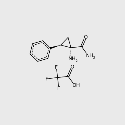 NC(=O)[C@]1(N)C[C@@H]1c1ccccc1.O=C(O)C(F)(F)F